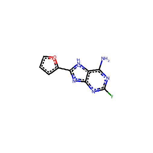 Nc1nc(F)nc2nc(-c3ccco3)[nH]c12